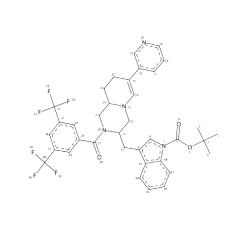 CC(C)(C)OC(=O)n1cc(CC2CN3C=C(c4cccnc4)CCC3CN2C(=O)c2cc(C(F)(F)F)cc(C(F)(F)F)c2)c2ccccc21